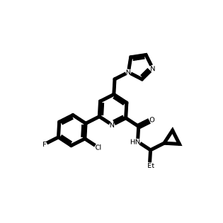 CCC(NC(=O)c1cc(Cn2ccnc2)cc(-c2ccc(F)cc2Cl)n1)C1CC1